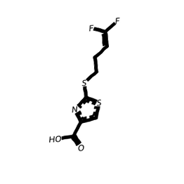 O=C(O)c1csc(SCCC=C(F)F)n1